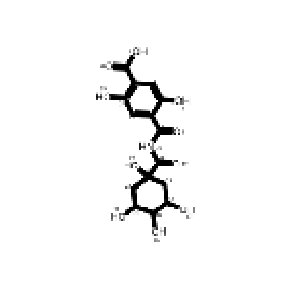 O=C(O)c1cc(O)c(C(=O)NC(=O)C2(O)CC(O)C(O)C(O)C2)cc1O